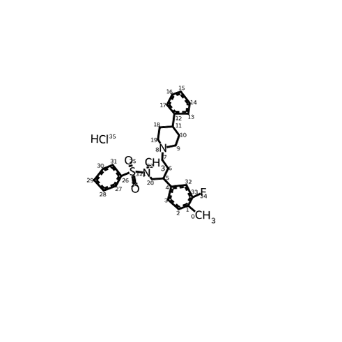 Cc1ccc(C(CCN2CCC(c3ccccc3)CC2)CN(C)S(=O)(=O)c2ccccc2)cc1F.Cl